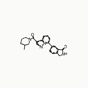 CC1CCCN(C(=O)c2cnn3c(-c4ccc5c(c4)C(=O)NC5)cccc23)C1